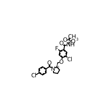 CS(=O)(=O)NC(=O)c1cc(Cl)c(OC[C@H]2CCCN2C(=O)c2ccc(Cl)cc2)cc1F